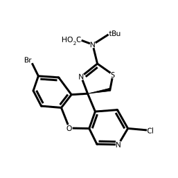 CC(C)(C)N(C(=O)O)C1=N[C@@]2(CS1)c1cc(Br)ccc1Oc1cnc(Cl)cc12